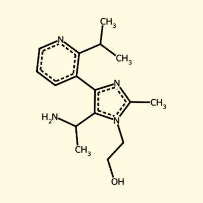 Cc1nc(-c2cccnc2C(C)C)c(C(C)N)n1CCO